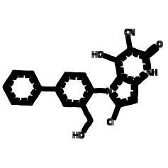 N#Cc1c(O)c2c(cc(Cl)n2-c2ccc(-c3ccccc3)cc2CO)[nH]c1=O